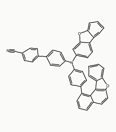 N#Cc1ccc(-c2ccc(N(c3ccc(-c4cccc5ccc6oc7ccccc7c6c45)cc3)c3ccc4c(c3)oc3ccccc34)cc2)cc1